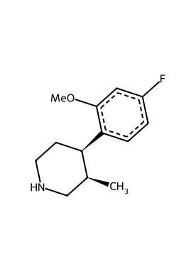 COc1cc(F)ccc1[C@@H]1CCNC[C@@H]1C